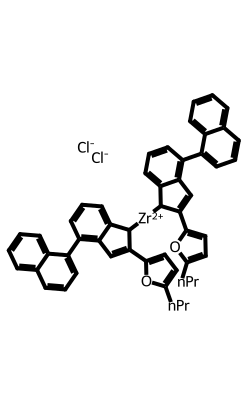 CCCc1ccc(C2=Cc3c(-c4cccc5ccccc45)cccc3[CH]2[Zr+2][CH]2C(c3ccc(CCC)o3)=Cc3c(-c4cccc5ccccc45)cccc32)o1.[Cl-].[Cl-]